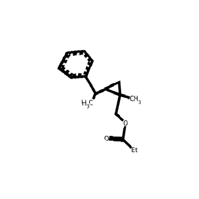 CCC(=O)OCC1(C)CC1C(C)c1ccccc1